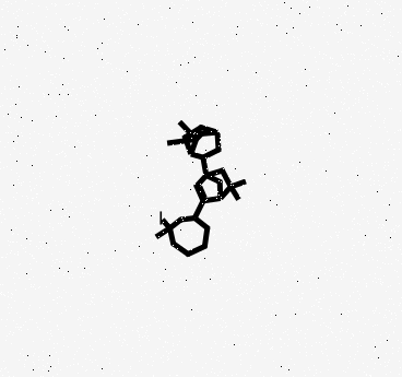 CC1(I)CCCCC(C2=CC3(C4CC5C=CC4C(C)(C)C5)CC2C(C)(C)C3)C1